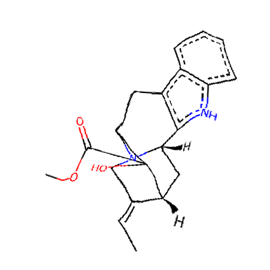 C/C=C1/CN2C3Cc4c([nH]c5ccccc45)[C@@H]2C[C@H]1C3(O)C(=O)OC